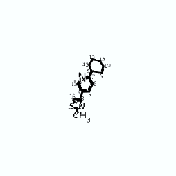 Cc1nc(-c2ccc(C3CCCCC3)nc2)cs1